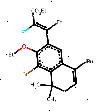 CCOC(=O)C(F)=C(CC)c1cc2c(c(Br)c1OCC)C(C)(C)CC=C2C(C)CC